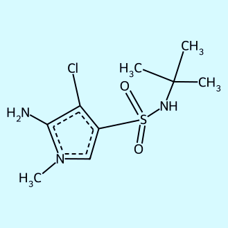 Cn1cc(S(=O)(=O)NC(C)(C)C)c(Cl)c1N